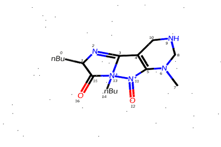 CCCCC1N=C2C3=C(N(C)CNC3)[N+](=O)[N+]2(CCCC)C1=O